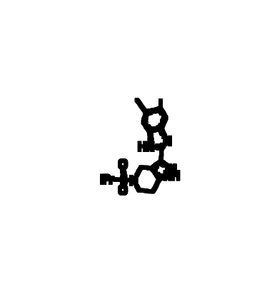 Cc1cc2nc(-c3n[nH]c4c3CN(S(=O)(=O)C(C)C)CC4)[nH]c2cc1C